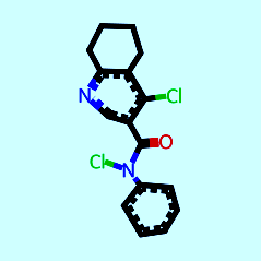 O=C(c1cnc2c(c1Cl)CCCC2)N(Cl)c1ccccc1